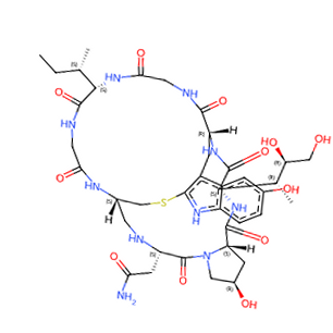 CC[C@H](C)[C@@H]1NC(=O)CNC(=O)[C@H]2Cc3c([nH]c4ccc(O)cc34)SC[C@H](CN[C@@H](CC(N)=O)C(=O)N3C[C@H](O)C[C@H]3C(=O)N[C@@H]([C@@H](C)[C@@H](O)CO)C(=O)N2)NC(=O)CNC1=O